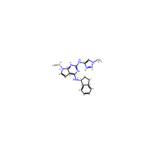 Cn1cc(Nc2nc(N[C@H]3CCc4ccccc43)c3ccn(SI)c3n2)nn1